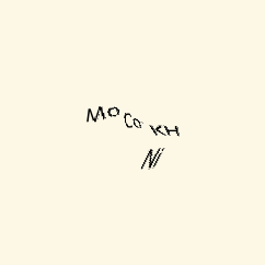 [Co].[KH].[Mo].[Ni]